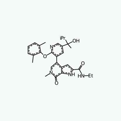 CCNC(=O)c1cc2c(-c3cc(C(C)(O)C(C)C)cnc3Oc3c(C)cccc3C)cn(C)c(=O)c2[nH]1